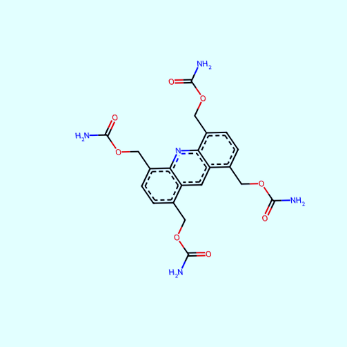 NC(=O)OCc1ccc(COC(N)=O)c2nc3c(COC(N)=O)ccc(COC(N)=O)c3cc12